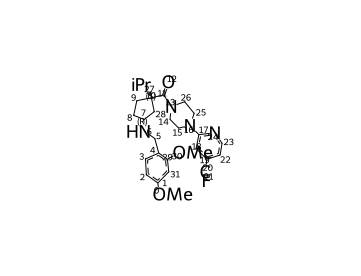 COc1ccc(CN[C@@H]2CC[C@@](C(=O)N3CCN(c4cc(CF)ccn4)CC3)(C(C)C)C2)c(OC)c1